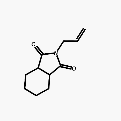 C=CCN1C(=O)C2CCCCC2C1=O